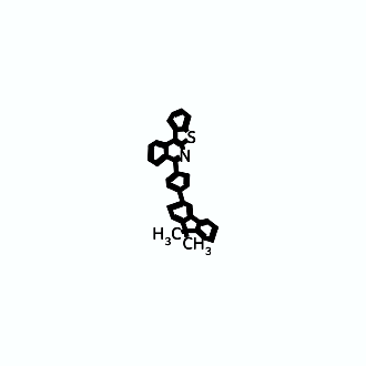 CC1(C)c2ccccc2-c2cc(-c3ccc(-c4nc5sc6ccccc6c5c5ccccc45)cc3)ccc21